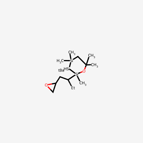 CCC(CC1CO1)[Si]1(C)OC(C)(C)C[Si](C)(C)[SiH]1C(C)(C)C